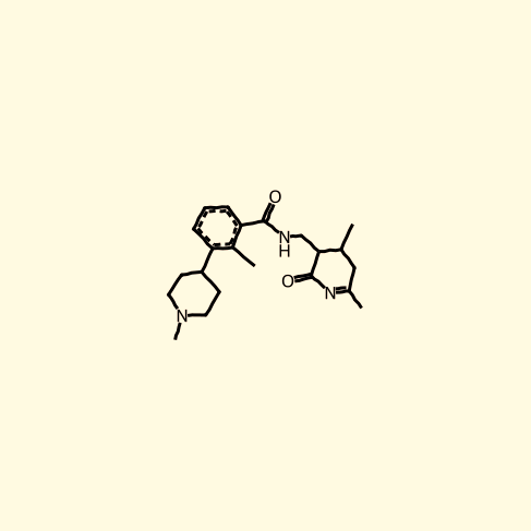 CC1=NC(=O)C(CNC(=O)c2cccc(C3CCN(C)CC3)c2C)C(C)C1